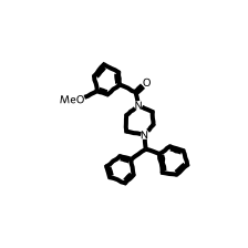 COc1cccc(C(=O)N2CCN(C(c3ccccc3)c3ccccc3)CC2)c1